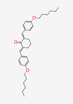 CCCCCCOc1ccc(/C=C2\CCC/C(=C\c3ccc(OCCCCCC)cc3)C2=O)cc1